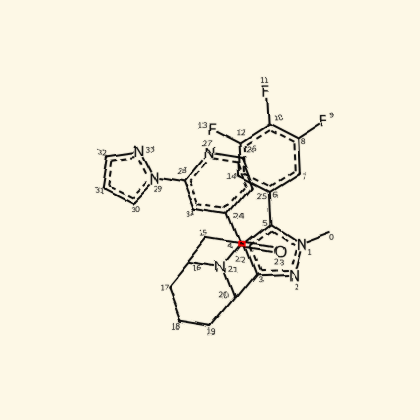 Cn1nc2c(c1-c1cc(F)c(F)c(F)c1)CC1CCCC2N1C(=O)c1ccnc(-n2cccn2)c1